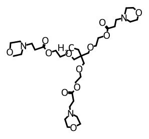 CCC(COCCOC(=O)CCN1CCOCC1)(COCCOC(=O)CCN1CCOCC1)COCCOC(=O)CCN1CCOCC1